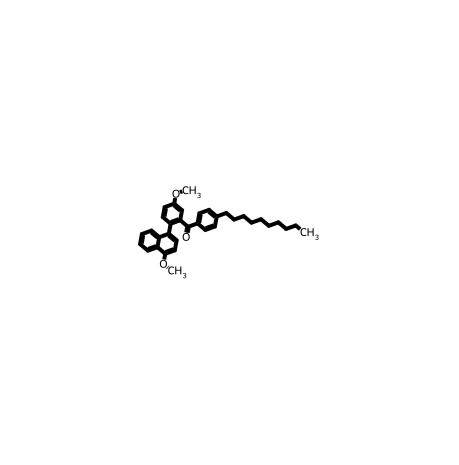 CCCCCCCCCCc1ccc(C(=O)c2cc(OC)ccc2-c2ccc(OC)c3ccccc23)cc1